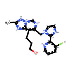 Cc1nc2c(CCCO)c(Cn3ccnc3-c3ncccc3F)ncn2n1